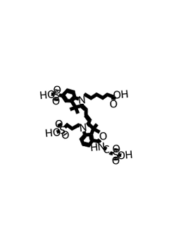 CC1(C)C(/C=C/C=C2/N(CCCCCC(=O)O)c3ccc(S(=O)(=O)O)cc3C2(C)C)=[N+](CCCS(=O)(=O)O)c2cccc(C(=O)NCCS(=O)(=O)O)c21